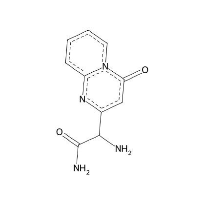 NC(=O)C(N)c1cc(=O)n2ccccc2n1